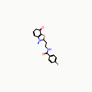 CN1C2=C(SC1CCNC(=O)c1ccc(F)cc1)C(=O)CC=C2